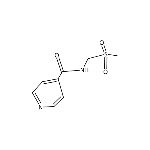 CS(=O)(=O)CNC(=O)c1ccncc1